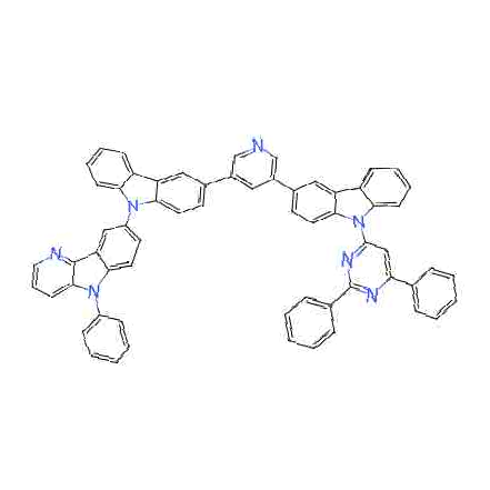 c1ccc(-c2cc(-n3c4ccccc4c4cc(-c5cncc(-c6ccc7c(c6)c6ccccc6n7-c6ccc7c(c6)c6ncccc6n7-c6ccccc6)c5)ccc43)nc(-c3ccccc3)n2)cc1